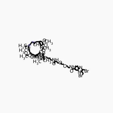 COc1cc2cc(c1Cl)N(C)C(=O)C[C@H](OC(=O)[C@H](CCCCNC(=O)CCOCCOCCNC(=O)c1ccc3nc(CBr)c(CBr)nc3c1)N(C)C(C)=O)[C@]1(C)O[C@H]1[C@H](C)[C@@H](OC(C)=O)C[C@@H](C)[C@H](OC)/C=C/C=C(\C)C2